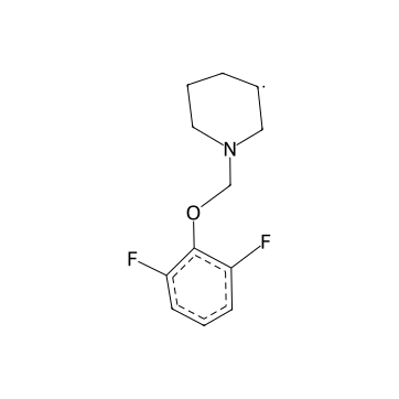 Fc1cccc(F)c1OCN1C[CH]CCC1